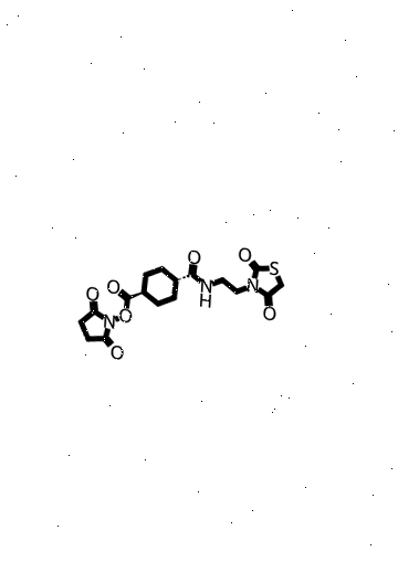 O=C1CSC(=O)N1CCNC(=O)[C@H]1CC[C@H](C(=O)ON2C(=O)CCC2=O)CC1